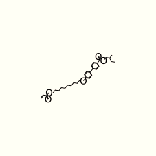 C=CC(=O)OCCCCCCCCCCOc1ccc(-c2ccc(C(=O)OCC(C)CC)cc2)cc1